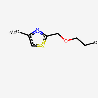 COCCOCc1nc(OC)cs1